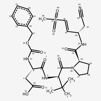 CC(C)(C)[C@@H](NC(=O)[C@H](CC(=O)O)NC(=O)OCc1ccccc1)C(=O)N1CCC[C@@H]1C(=O)N[C@H](/C=C/S(C)(=O)=O)CC#N